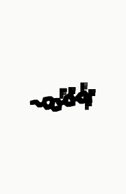 CCCC1CCc2cc(-c3ccc(-c4cc(F)c(F)c(F)c4)c(F)c3F)ccc2C1